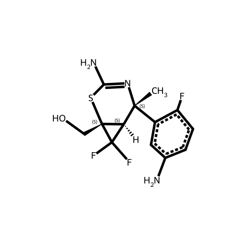 C[C@]1(c2cc(N)ccc2F)N=C(N)S[C@]2(CO)[C@@H]1C2(F)F